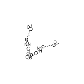 C=CC(=O)OCCCCCCOc1cnc(-c2ccc(COC3OCCOC3OCc3ccc(-c4ncc(OCCCCCCOC(=O)C=C)cn4)cc3)cc2)nc1